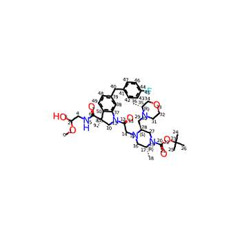 COC(O)CNC(=O)[C@]1(C)CN(C(=O)CN2C[C@@H](C)N(C(=O)OC(C)(C)C)C[C@@H]2CN2CCOC[C@H]2C)c2cc(Cc3ccc(F)cc3)ccc21